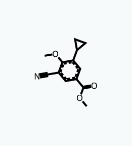 COC(=O)c1cc(C#N)c(OC)c(C2CC2)c1